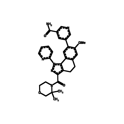 COc1cc2c(cc1-c1cncc(C(N)=O)c1)-c1c(c(C(=O)N3CCOCC3(C)C)nn1-c1ccccn1)CC2